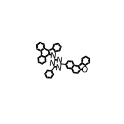 c1ccc(-c2nc(-c3ccc4c(ccc5oc6ccccc6c54)c3)nc(-n3c4ccccc4c4c5ccccc5c5ccccc5c43)n2)cc1